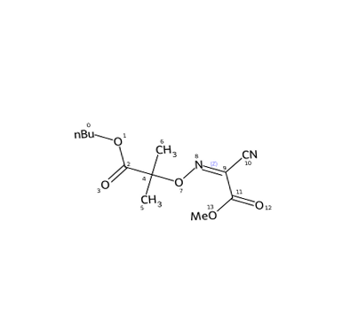 CCCCOC(=O)C(C)(C)O/N=C(/C#N)C(=O)OC